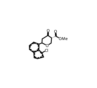 COC(=O)[C@@H]1COC(c2cccc3cccc(Cl)c23)CC1=O